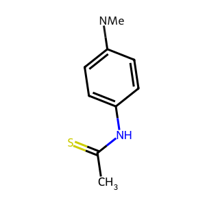 CNc1ccc(NC(C)=S)cc1